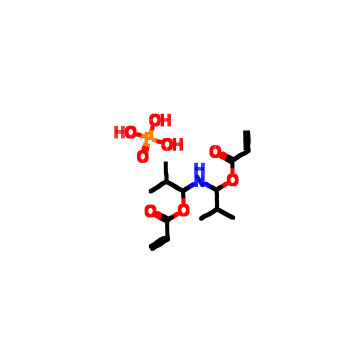 C=CC(=O)OC(NC(OC(=O)C=C)C(C)C)C(C)C.O=P(O)(O)O